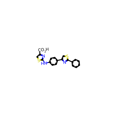 O=C(O)c1csc(Nc2ccc(-c3csc(-c4ccccc4)n3)cc2)n1